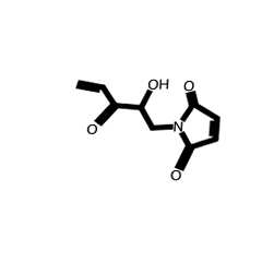 C=CC(=O)C(O)CN1C(=O)C=CC1=O